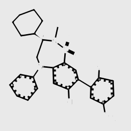 CN1[C@H](C2CCCCC2)CN(c2ccccc2)c2cc(Cl)c(-c3cc(C(=O)O)ccc3Cl)cc2S1(=O)=O